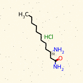 CCCCCCCCC[C@H](N)CC(N)=O.Cl